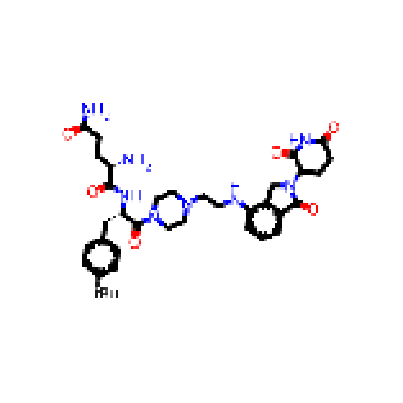 CC(C)(C)c1ccc(C[C@H](NC(=O)[C@@H](N)CCC(N)=O)C(=O)N2CCN(CCNc3cccc4c3CN(C3CCC(=O)NC3=O)C4=O)CC2)cc1